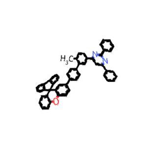 Cc1ccc(-c2cc(-c3ccccc3)nc(-c3ccccc3)n2)cc1-c1ccc(-c2ccc3c(c2)C2(c4ccccc4O3)c3ccccc3-c3ccccc32)cc1